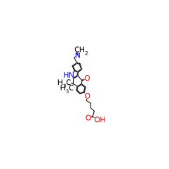 C=NCc1ccc2c3c([nH]c2c1)C(C)(C)c1ccc(OCCCCC(=O)O)cc1C3=O